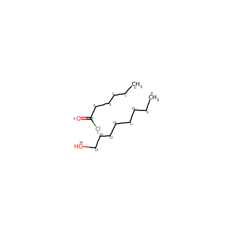 CCCCCC(=O)Cl.CCCCCCCCO